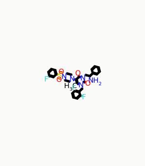 Cc1c(N2CCN(S(=O)(=O)c3cccc(F)c3)CC2)c(=O)n(C[C@H](N)c2ccccc2)c(=O)n1Cc1c(F)cccc1F